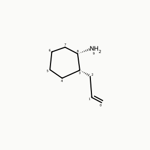 C=CC[C@@H]1CCCC[C@@H]1N